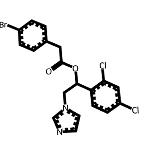 O=C(Cc1ccc(Br)cc1)OC(Cn1ccnc1)c1ccc(Cl)cc1Cl